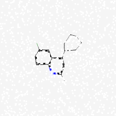 Cc1cc(C2CCCCC2)c2cc(F)ccc2n1